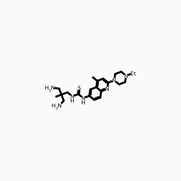 CCN1CCN(c2cc(C)c3cc(NC(=S)NCC(C)(CN)CN)ccc3n2)CC1